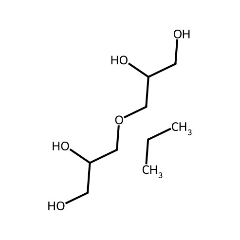 CCC.OCC(O)COCC(O)CO